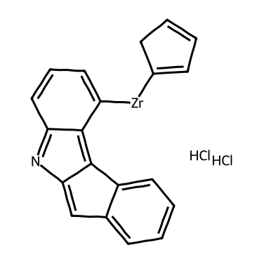 C1=CC[C]([Zr][c]2cccc3c2=C2C(=Cc4ccccc42)N=3)=C1.Cl.Cl